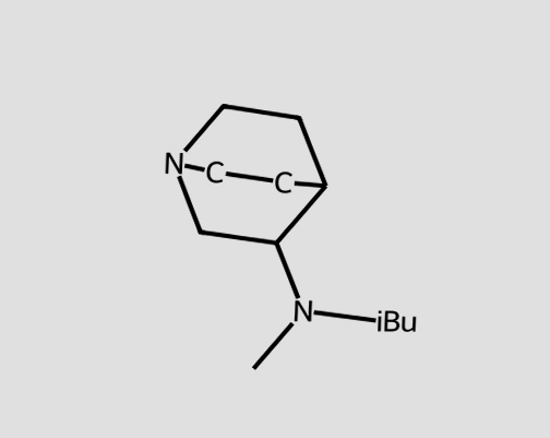 CCC(C)N(C)C1CN2CCC1CC2